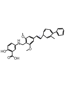 COc1cc(/C=C/C2C=CC=C(c3ccccc3)C(C)=C2)cc(OC)c1CNc1ccc(O)c(C(=O)O)c1